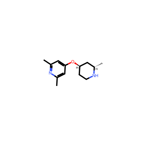 Cc1cc(O[C@@H]2CCN[C@@H](C)C2)cc(C)n1